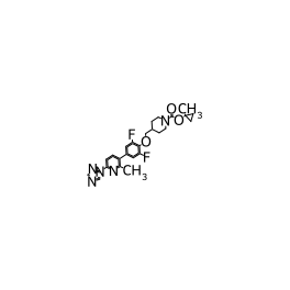 Cc1nc(-n2cncn2)ccc1-c1cc(F)c(OCC2CCN(C(=O)OC3(C)CC3)CC2)c(F)c1